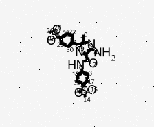 Cc1nc(N)c(C(=O)Nc2ccc(S(C)(=O)=O)cc2)nc1-c1ccc(S(C)(=O)=O)cc1